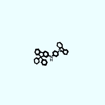 C1=Cc2c(n(-c3ccc(Nc4ccc5c(c4)C(C4=CCCCC4)(c4ccccc4)c4ccccc4-5)cc3)c3ccccc23)CC1